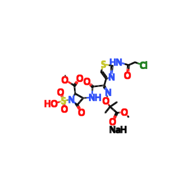 COC(=O)C1C(NC(=O)/C(=N\OC(C)(C)C(=O)OC)c2csc(NC(=O)CCl)n2)C(=O)N1S(=O)(=O)O.[NaH]